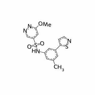 COc1cc(S(=O)(=O)Nc2cc(C)cc(-c3ccns3)c2)cnn1